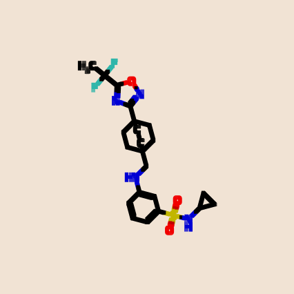 CC(F)(F)c1nc(C23CCC(CNc4cccc(S(=O)(=O)NC5CC5)c4)(CC2)CC3)no1